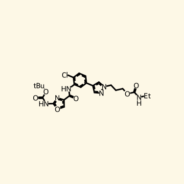 CCNC(=O)OCCCn1cc(-c2ccc(Cl)c(NC(=O)c3coc(NC(=O)OC(C)(C)C)n3)c2)cn1